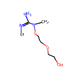 CCN=C(N)N(C)OCCOCCO